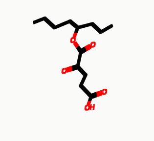 CCCCC(CCC)OC(=O)C(=O)CCC(=O)O